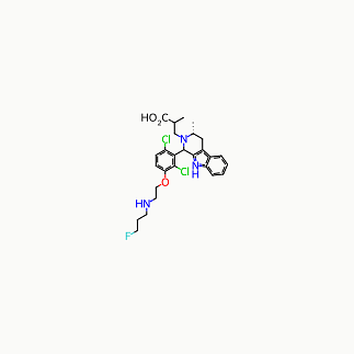 CC(CN1C(c2c(Cl)ccc(OCCNCCCF)c2Cl)c2[nH]c3ccccc3c2C[C@H]1C)C(=O)O